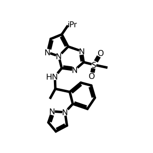 CC(C)c1cnn2c(NC(C)c3ccccc3-n3cccn3)nc(S(C)(=O)=O)nc12